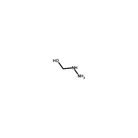 NNCO